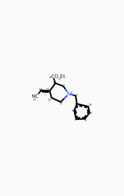 CCOC(=O)C1CN(Cc2ccccc2)CC/C1=C\C#N